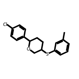 Cc1cccc(SC2CCC(c3ccc(Cl)cc3)OC2)c1